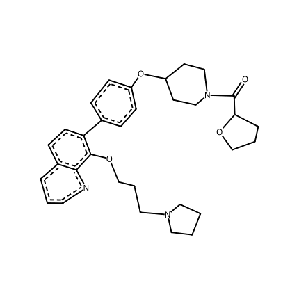 O=C(C1CCCO1)N1CCC(Oc2ccc(-c3ccc4cccnc4c3OCCCN3CCCC3)cc2)CC1